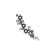 Cc1c[nH]c(/C=C2\C(=O)Nc3cc(Nc4cccc(NC(=O)Nc5cccc(F)c5)c4)ccc32)n1